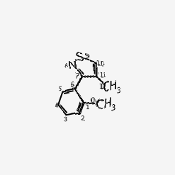 Cc1ccccc1-c1nscc1C